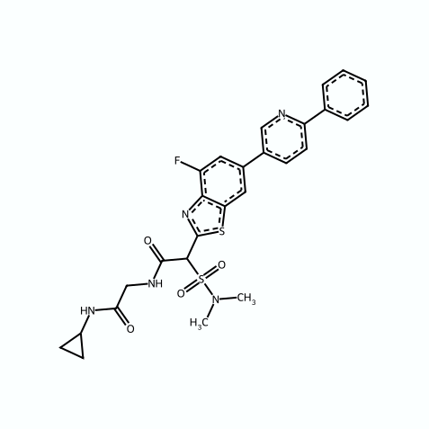 CN(C)S(=O)(=O)C(C(=O)NCC(=O)NC1CC1)c1nc2c(F)cc(-c3ccc(-c4ccccc4)nc3)cc2s1